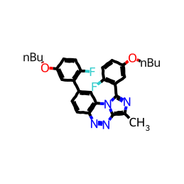 CCCCOc1ccc(F)c(-c2ccc3nnc4c(C)nc(-c5cc(OCCCC)ccc5F)n4c3c2)c1